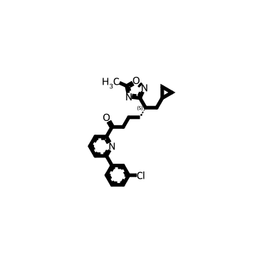 Cc1nc([C@@H](CCCC(=O)c2cccc(-c3cccc(Cl)c3)n2)CC2CC2)no1